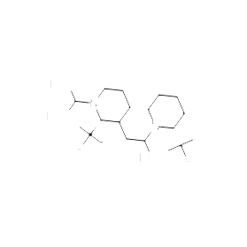 CC(C)N1CCCC(CC(C)N2CCCC[C@@H]2C(F)(F)F)[C@H]1C(F)(F)F